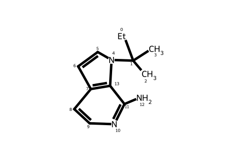 CCC(C)(C)n1ccc2ccnc(N)c21